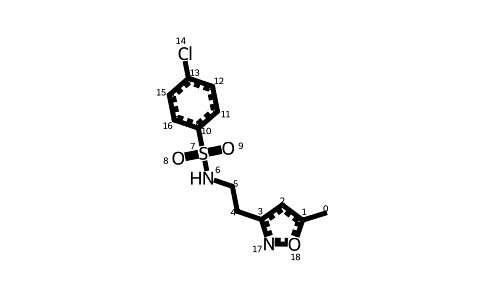 Cc1cc(CCNS(=O)(=O)c2ccc(Cl)cc2)no1